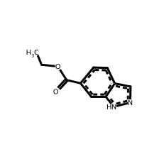 CCOC(=O)c1ccc2cn[nH]c2c1